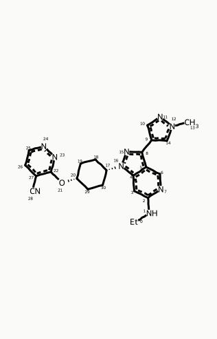 CCNc1cc2c(cn1)c(-c1cnn(C)c1)nn2[C@H]1CC[C@@H](Oc2nnccc2C#N)CC1